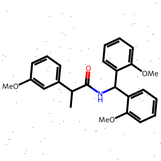 COc1cccc(C(C)C(=O)NC(c2ccccc2OC)c2ccccc2OC)c1